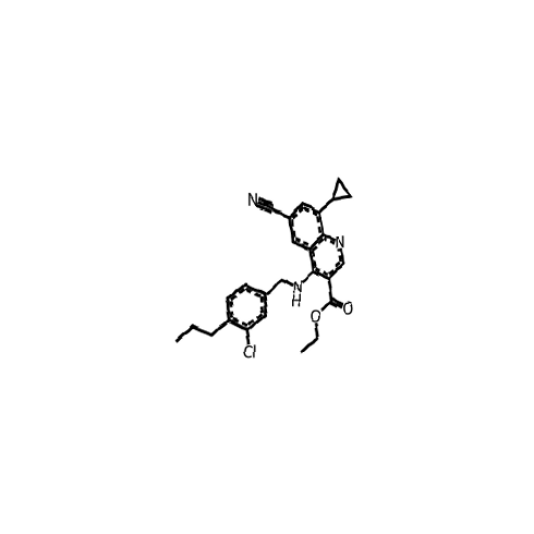 CCCc1ccc(CNc2c(C(=O)OCC)cnc3c(C4CC4)cc(C#N)cc23)cc1Cl